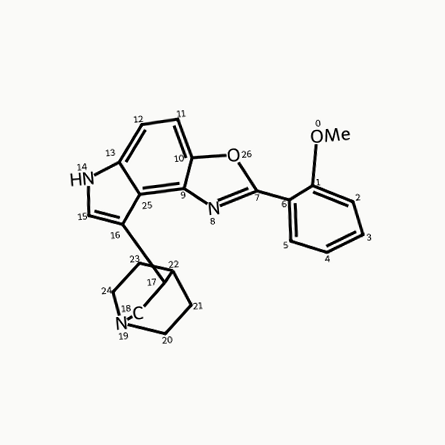 COc1ccccc1-c1nc2c(ccc3[nH]cc(C4CN5CCC4CC5)c32)o1